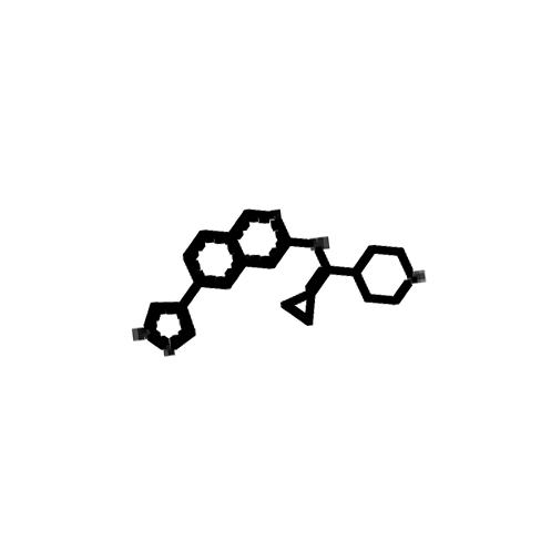 c1cc2cnc(NC(=C3CC3)C3CCNCC3)cc2cc1-c1cn[nH]c1